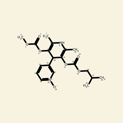 COC(=O)OC1=C(C)NC(C)=C(OC(=O)OCC(C)C)C1c1ccc[n+]([O-])c1